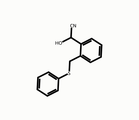 N#CC(O)c1ccccc1CSc1ccccc1